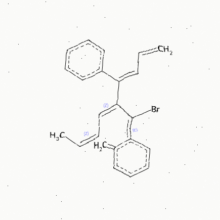 C=CC=C(C(=C/C=C\C)/C(Br)=c1/ccccc1=C)c1ccccc1